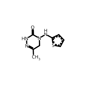 CC1=NNC(=O)N(Nc2cccs2)C1